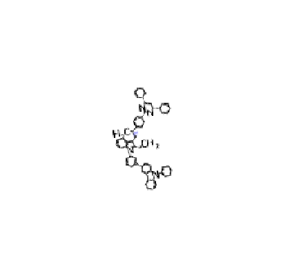 C=Cc1c(/C=C(\C)c2ccc(-c3nc(-c4ccccc4)cc(-c4ccccc4)n3)cc2)c2ccccc2n1-c1cccc(-c2ccc3c(c2)c2ccccc2n3-c2ccccc2)c1